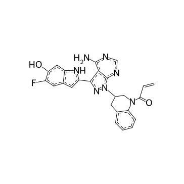 C=CC(=O)N1CC(n2nc(-c3cc4cc(F)c(O)cc4[nH]3)c3c(N)ncnc32)Cc2ccccc21